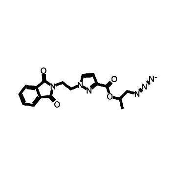 CC(CN=[N+]=[N-])OC(=O)c1ccn(CCN2C(=O)c3ccccc3C2=O)n1